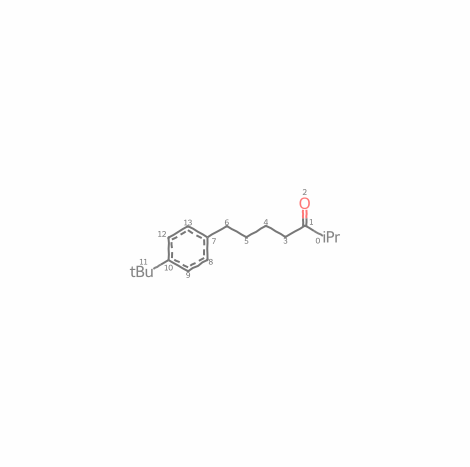 CC(C)C(=O)CCCCc1ccc(C(C)(C)C)cc1